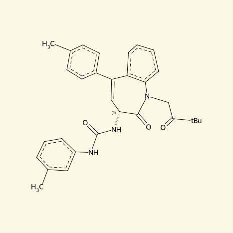 Cc1ccc(C2=C[C@@H](NC(=O)Nc3cccc(C)c3)C(=O)N(CC(=O)C(C)(C)C)c3ccccc32)cc1